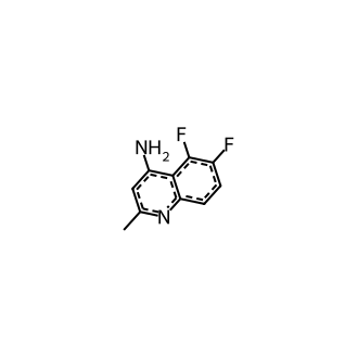 Cc1cc(N)c2c(F)c(F)ccc2n1